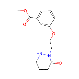 COC(=O)c1cccc(OCCN2NCCCC2=O)c1